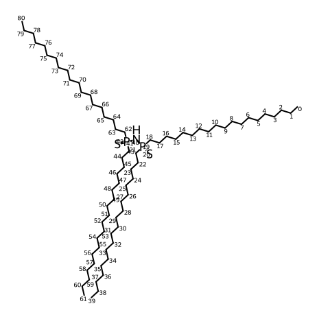 CCCCCCCCCCCCCCCCCCCP(=S)(CCCCCCCCCCCCCCCCCCC)NP(=S)(CCCCCCCCCCCCCCCCCCC)CCCCCCCCCCCCCCCCCCC